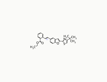 CCOC(=O)c1ccccc1/C=C/c1ccc2oc(-c3nc(C(C)(C)C)cs3)cc2c1